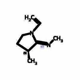 C=CN1CC[C@H](C)/C1=N/C